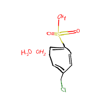 O.O.O=S(=O)(O)c1ccc(Cl)cc1